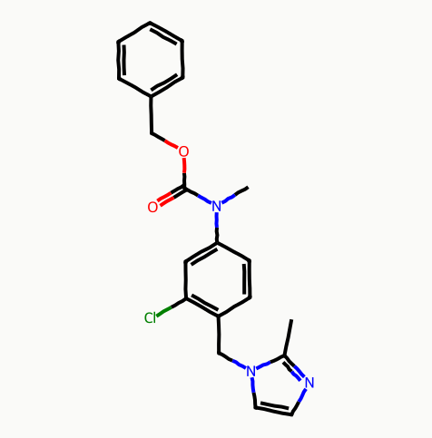 Cc1nccn1Cc1ccc(N(C)C(=O)OCc2ccccc2)cc1Cl